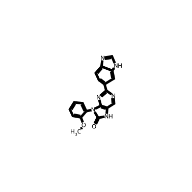 COc1ccccc1-n1c(=O)[nH]c2cnc(-c3ccc4nc[nH]c4c3)nc21